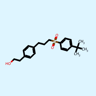 CC(C)(C)c1ccc(S(=O)(=O)CCCc2ccc(CCO)cc2)cc1